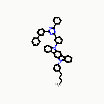 CCCCc1cccc(-n2c3ccccc3c3cc4c(cc32)c2ccccc2n4-c2cccc(-c3nc(-c4ccccc4)nc(-c4cccc(-c5ccccc5)c4)n3)c2)c1